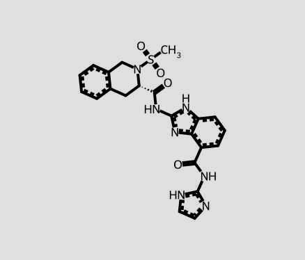 CS(=O)(=O)N1Cc2ccccc2C[C@H]1C(=O)Nc1nc2c(C(=O)Nc3ncc[nH]3)cccc2[nH]1